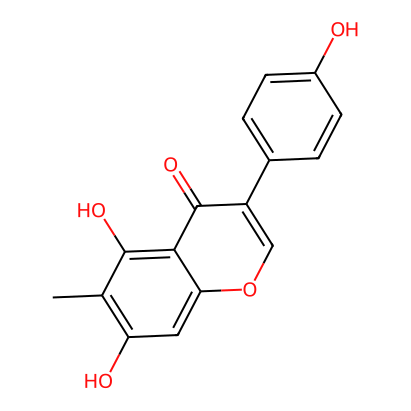 Cc1c(O)cc2occ(-c3ccc(O)cc3)c(=O)c2c1O